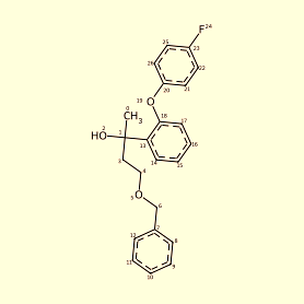 CC(O)(CCOCc1ccccc1)c1ccccc1Oc1ccc(F)cc1